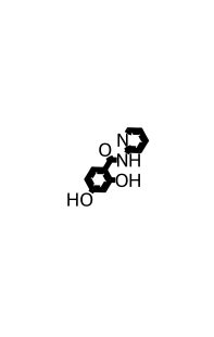 O=C(Nc1ccccn1)c1ccc(O)cc1O